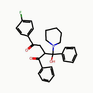 O=C(CC(C(=O)c1ccccc1)C(O)(c1ccccc1)N1CCCCC1)c1ccc(F)cc1